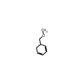 COCC1C=CC=CC1